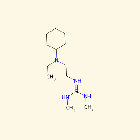 CCN(CCN[SiH](NC)NC)C1CCCCC1